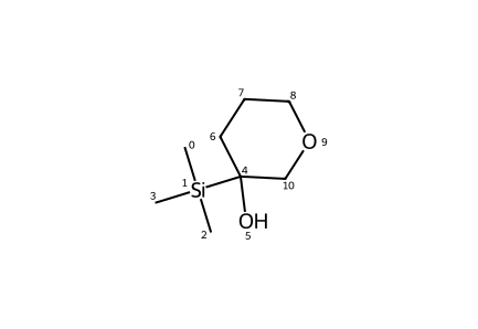 C[Si](C)(C)C1(O)CCCOC1